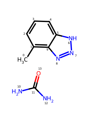 Cc1cccc2[nH]nnc12.NC(N)=O